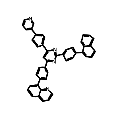 c1cncc(-c2ccc(-c3cc(-c4ccc(-c5cccc6cccnc56)cc4)nc(-c4ccc(-c5cccc6ccccc56)cc4)n3)cc2)c1